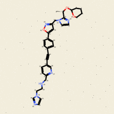 C[C@H](OC1CCCCO1)c1nccn1Cc1cc(-c2ccc(C#Cc3ccc(CNCCn4ccnc4)nc3)cc2)on1